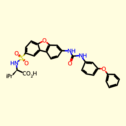 CC(C)[C@@H](NS(=O)(=O)c1ccc2oc3cc(NC(=O)Nc4cccc(Oc5ccccc5)c4)ccc3c2c1)C(=O)O